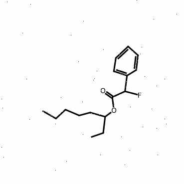 CCCCCC(CC)OC(=O)C(F)c1ccccc1